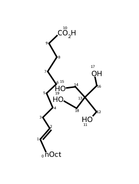 CCCCCCCCC=CCCCCCCCC(=O)O.OCC(CO)(CO)CO